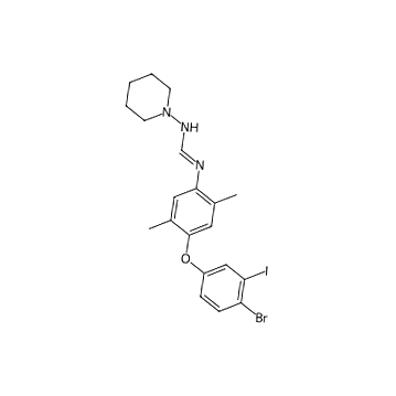 Cc1cc(Oc2ccc(Br)c(I)c2)c(C)cc1/N=C/NN1CCCCC1